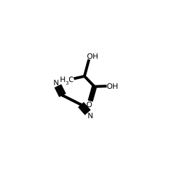 CC(O)C(=O)O.N#CC#N